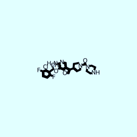 C[C@@H](Oc1c(N)ncc2c(C3=CCN(C(=O)N4CCNCC4)CC3)coc12)c1c(F)ccc(F)c1Cl